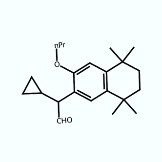 CCCOc1cc2c(cc1C(C=O)C1CC1)C(C)(C)CCC2(C)C